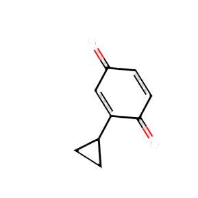 O=C1C=CC(=O)C(C2CC2)=C1